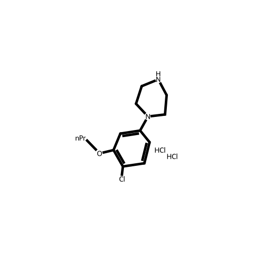 CCCOc1cc(N2CCNCC2)ccc1Cl.Cl.Cl